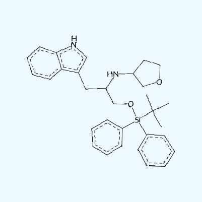 CC(C)(C)[Si](OCC(Cc1c[nH]c2ccccc12)NC1CCOC1)(c1ccccc1)c1ccccc1